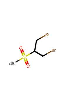 CC(C)(C)S(=O)(=O)C(CBr)CBr